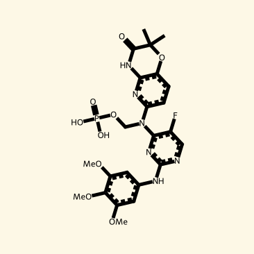 COc1cc(Nc2ncc(F)c(N(COP(=O)(O)O)c3ccc4c(n3)NC(=O)C(C)(C)O4)n2)cc(OC)c1OC